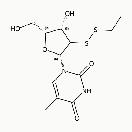 CCSSC1[C@@H](O)[C@@H](CO)O[C@H]1n1cc(C)c(=O)[nH]c1=O